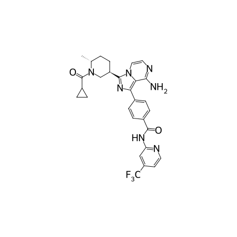 C[C@@H]1CC[C@@H](c2nc(-c3ccc(C(=O)Nc4cc(C(F)(F)F)ccn4)cc3)c3c(N)nccn23)CN1C(=O)C1CC1